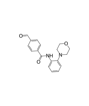 O=Cc1ccc(C(=O)Nc2ccccc2N2CCOCC2)cc1